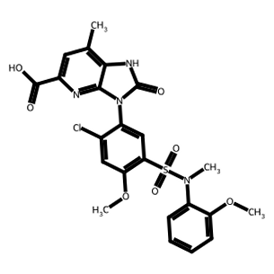 COc1ccccc1N(C)S(=O)(=O)c1cc(-n2c(=O)[nH]c3c(C)cc(C(=O)O)nc32)c(Cl)cc1OC